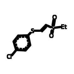 CCS(=O)(=O)C=CSc1ccc(Cl)cc1